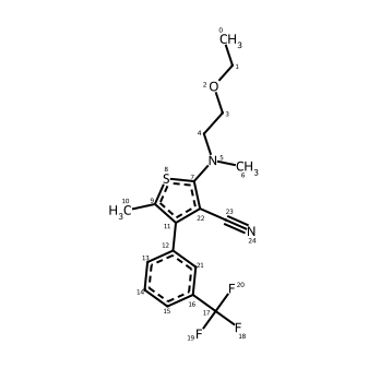 CCOCCN(C)c1sc(C)c(-c2cccc(C(F)(F)F)c2)c1C#N